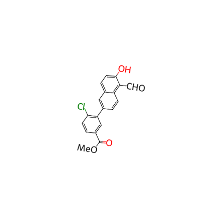 COC(=O)c1ccc(Cl)c(-c2ccc3c(C=O)c(O)ccc3c2)c1